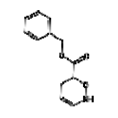 O=C(OCc1ccccc1)C1CC=CNO1